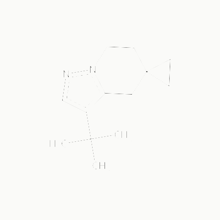 CC(C)(C)c1cnn2c1CC1(CC2)CC1